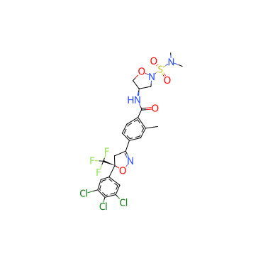 Cc1cc(C2=NO[C@@](c3cc(Cl)c(Cl)c(Cl)c3)(C(F)(F)F)C2)ccc1C(=O)N[C@H]1CON(S(=O)(=O)N(C)C)C1